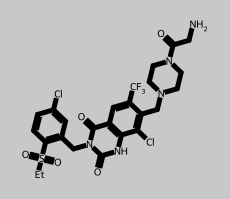 CCS(=O)(=O)c1ccc(Cl)cc1Cn1c(=O)[nH]c2c(Cl)c(CN3CCN(C(=O)CN)CC3)c(C(F)(F)F)cc2c1=O